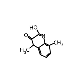 Cc1cccc2c1N=C(O)C(=O)C2C